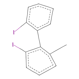 Cc1cccc(I)c1-c1ccccc1I